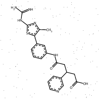 Cc1nc(NC(=N)N)sc1-c1cccc(NC(=O)CC(CC(=O)O)c2cccnc2)c1